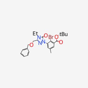 CCn1c(COCc2ccccc2)nn(-c2cc(C)cc(C(=O)OC(C)(C)C)c2Br)c1=O